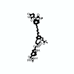 CN(C)C(=O)[C@@H]1Cc2cc(CCCCCCc3ccc4c(c3)n(C)c(=O)n4C3CCC(=O)NC3=O)cc3c2N1C(=O)[C@@H](NC(=O)c1cc2cc(C(=O)P(=O)(O)O)ccc2[nH]1)CC3